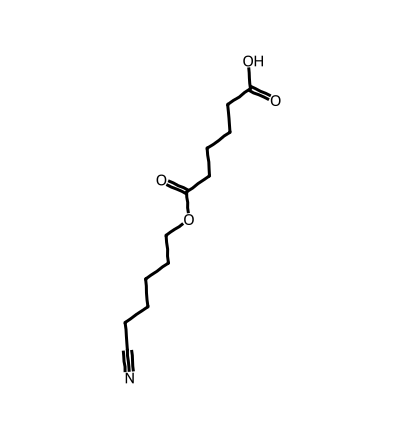 N#CCCCCCOC(=O)CCCCC(=O)O